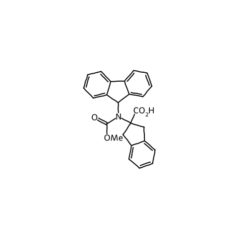 COC(=O)N(C1c2ccccc2-c2ccccc21)C1(C(=O)O)Cc2ccccc2C1